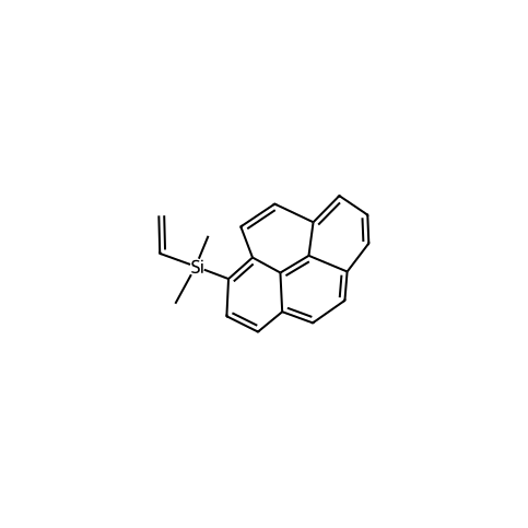 C=C[Si](C)(C)c1ccc2ccc3cccc4ccc1c2c34